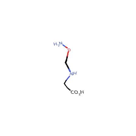 NOCNCC(=O)O